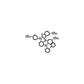 CC(C)(C)c1ccc(N2c3cccc4c3B(c3cc(C(C)(C)C)ccc3N4c3ccccc3-c3ccccc3)c3c2sc2ccc(C(C)(C)C)cc32)cc1